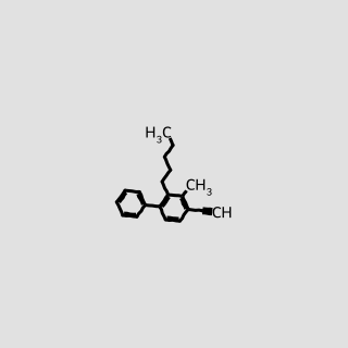 C#Cc1ccc(-c2ccccc2)c(CCCCC)c1C